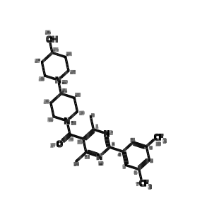 Cc1nc(-c2cc(C(F)(F)F)cc(C(F)(F)F)c2)nc(C)c1C(=O)N1CCC(N2CCC(O)CC2)CC1